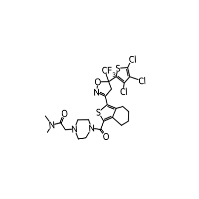 CN(C)C(=O)CN1CCN(C(=O)c2sc(C3=NOC(c4sc(Cl)c(Cl)c4Cl)(C(F)(F)F)C3)c3c2CCCC3)CC1